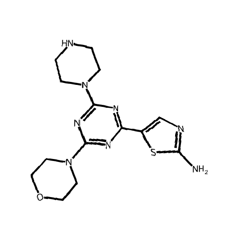 Nc1ncc(-c2nc(N3CCNCC3)nc(N3CCOCC3)n2)s1